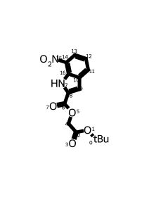 CC(C)(C)OC(=O)COC(=O)c1cc2cccc([N+](=O)[O-])c2[nH]1